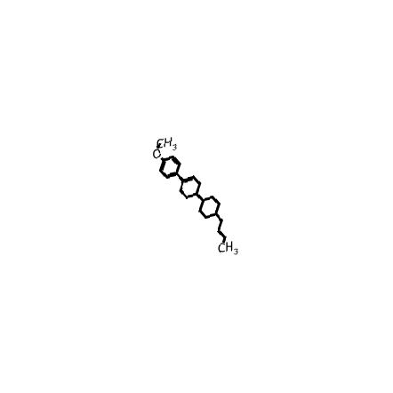 CCCCC1CCC(C2CC=C(c3ccc(OC)cc3)CC2)CC1